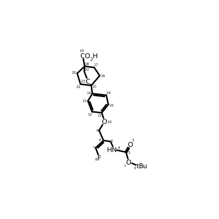 CC(C)(C)OC(=O)NC/C(=C\F)COc1ccc(C23CCC(C(=O)O)(CC2)CC3)cc1